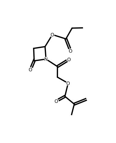 C=C(C)C(=O)OCC(=O)N1C(=O)CC1OC(=O)CC